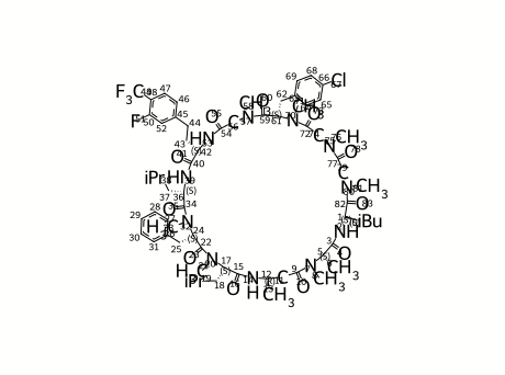 CC[C@H](C)[C@@H]1NC(=O)[C@H](C)N(C)C(=O)C[C@@H](C)NC(=O)[C@H](CC(C)C)N(C)C(=O)[C@H](Cc2ccccc2)N(C)C(=O)[C@H](CC(C)C)NC(=O)[C@H](CCc2ccc(C(F)(F)F)c(F)c2)NC(=O)CN(C)C(=O)[C@H](Cc2ccc(Cl)cc2)N(C)C(=O)CN(C)C(=O)CN(C)C1=O